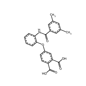 Cc1cc(C)cc(C(=O)Nc2ccccc2Oc2ccc(C(=O)O)c(C(=O)O)c2)c1